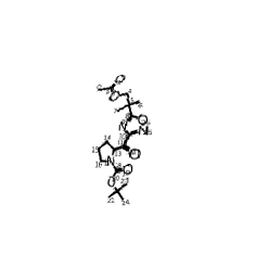 CC(=O)OCC(C)(C)c1nc(C(=O)C2CCCN2C(=O)OC(C)(C)C)no1